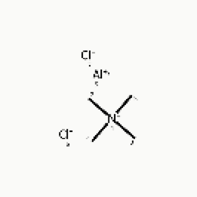 C[N+](C)(C)C.[Al+].[Cl-].[Cl-]